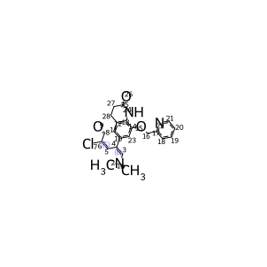 CN(C)/C=C(\C=C(\Cl)C=O)c1cc2c(c(OCc3ccccn3)c1)NC(=O)CC2